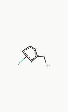 Fc1cccc(CC(F)(F)F)c1